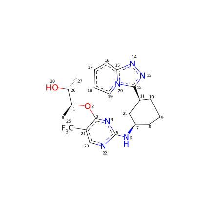 C[C@H](Oc1nc(N[C@@H]2CCC[C@H](c3nnc4ccccn34)C2)ncc1C(F)(F)F)[C@@H](C)O